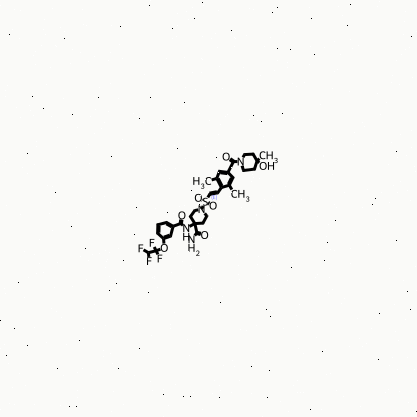 Cc1cc(C(=O)N2CCC(C)(O)CC2)cc(C)c1/C=C/S(=O)(=O)N1CCC(NC(=O)c2cccc(OC(F)(F)C(F)F)c2)(C(N)=O)CC1